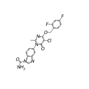 Cc1nc(OCc2ccc(F)cc2F)c(Cl)c(=O)n1-c1ccc2c(c1)ncn2C(N)=O